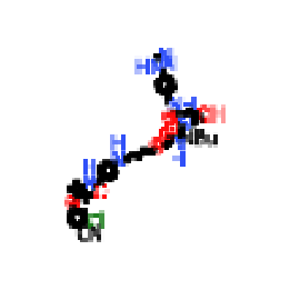 CC(C)(C)[C@H](NC(=O)COCCCCCNc1ccc(C(=O)N[C@H]2C(C)(C)[C@H](Oc3ccc(C#N)c(Cl)c3)C2(C)C)cc1)C(=O)N1C[C@H](O)C[C@H]1C(=O)NCc1ccc(-c2nnc[nH]2)cc1